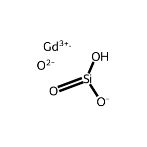 O=[Si]([O-])O.[Gd+3].[O-2]